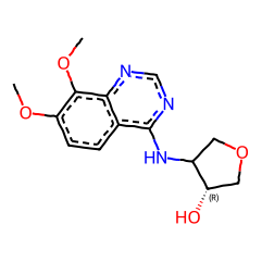 COc1ccc2c(NC3COC[C@@H]3O)ncnc2c1OC